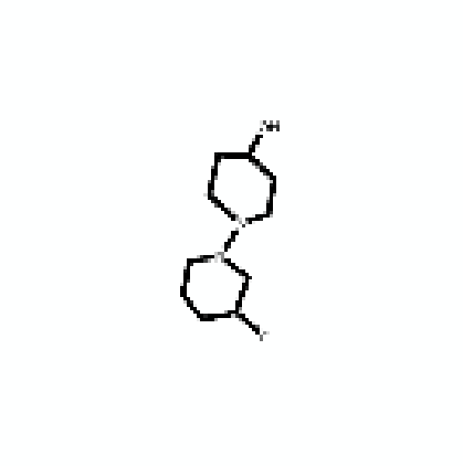 OC1CCN(N2CCCC(O)C2)CC1